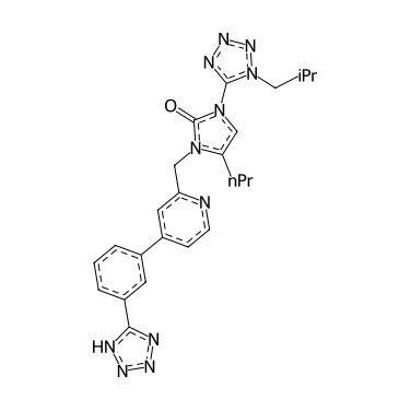 CCCc1cn(-c2nnnn2CC(C)C)c(=O)n1Cc1cc(-c2cccc(-c3nnn[nH]3)c2)ccn1